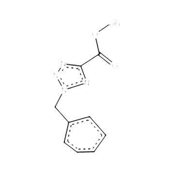 CCCOC(=O)c1nnn(Cc2ccccc2)n1